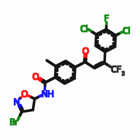 Cc1cc(C(=O)/C=C(\c2cc(Cl)c(F)c(Cl)c2)C(F)(F)F)ccc1C(=O)NC1CC(Br)=NO1